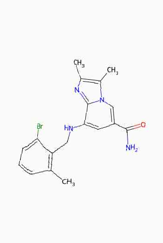 Cc1cccc(Br)c1CNc1cc(C(N)=O)cn2c(C)c(C)nc12